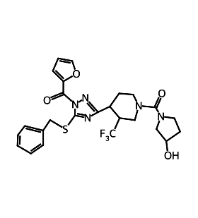 O=C(N1CCC(O)C1)N1CCC(c2nc(SCc3ccccc3)n(C(=O)c3ccco3)n2)C(C(F)(F)F)C1